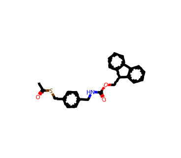 CC(=O)SCc1ccc(CNC(=O)OCC2c3ccccc3-c3ccccc32)cc1